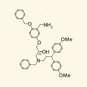 COc1ccc(C(CCN(Cc2ccccc2)C[C@H](O)COc2ccc(OCc3ccccc3)c(CN)c2)c2ccc(OC)cc2)cc1